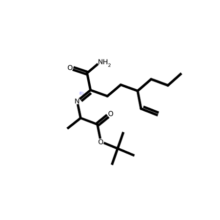 C=CC(CCC)CC/C(=N\C(C)C(=O)OC(C)(C)C)C(N)=O